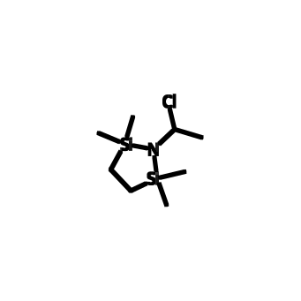 CC(Cl)N1[Si](C)(C)CC[Si]1(C)C